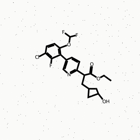 CCOC(=O)C(CC1CC(O)C1)c1ccc(-c2c(OC(F)F)ccc(Cl)c2F)cn1